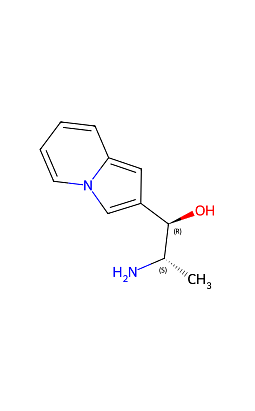 C[C@H](N)[C@H](O)c1cc2ccccn2c1